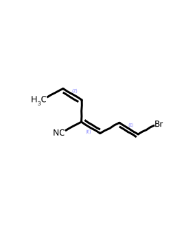 C\C=C/C(C#N)=C\C=C\Br